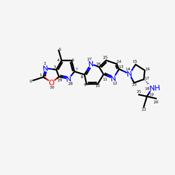 Cc1nc2c(C)cc(-c3ccc4nc(N5CC[C@H](NC(C)(C)C)C5)ccc4n3)nc2o1